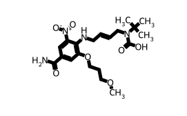 COCCCOc1cc(C(N)=O)cc([N+](=O)[O-])c1NC/C=C/CN(C(=O)O)C(C)(C)C